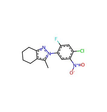 Cc1c2c(nn1-c1cc([N+](=O)[O-])c(Cl)cc1F)CCCC2